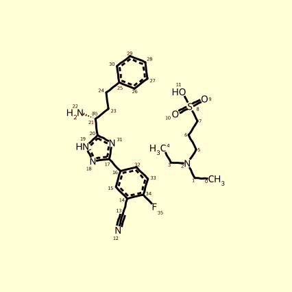 CCN(CC)CCCS(=O)(=O)O.N#Cc1cc(-c2n[nH]c([C@H](N)CCc3ccccc3)n2)ccc1F